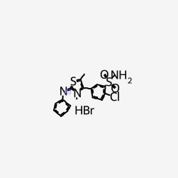 Br.Cc1s/c(=N/c2ccccc2)n(C)c1-c1ccc(Cl)c(S(N)(=O)=O)c1